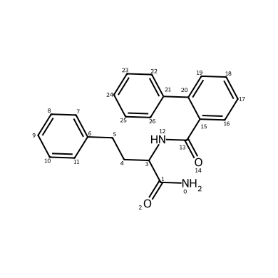 NC(=O)C(CCc1ccccc1)NC(=O)c1ccccc1-c1ccccc1